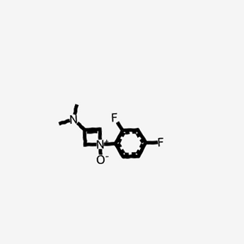 CN(C)C1=C[N+]([O-])(c2ccc(F)cc2F)C1